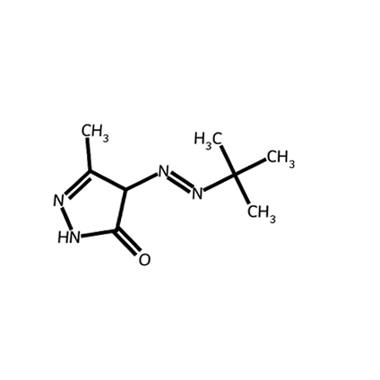 CC1=NNC(=O)C1/N=N/C(C)(C)C